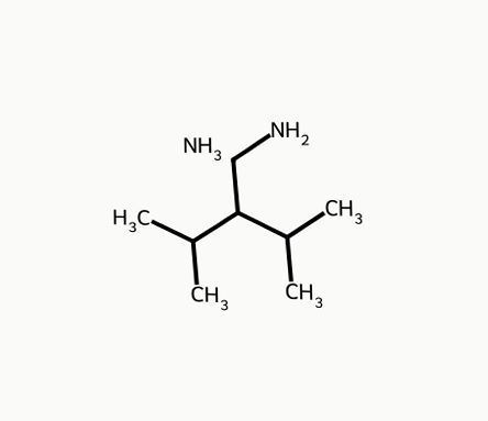 CC(C)C(CN)C(C)C.N